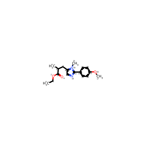 CCOC(=O)C(C)Cc1cnc(-c2ccc(OC)cc2)n1C